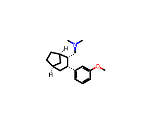 COc1cccc([C@@H]2C[C@H]3CC[C@H](C3)[C@@H]2CN(C)C)c1